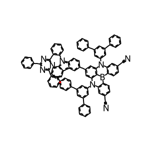 N#Cc1ccc2c(c1)N(c1cc(-c3ccccc3)cc(-c3ccccc3)c1)c1cc(-c3ccc4c(c3)c3ccccc3n4-c3ccccc3-c3nc(-c4ccccc4)nc(-c4ccccc4)n3)cc3c1B2c1ccc(C#N)cc1N3c1cc(-c2ccccc2)cc(-c2ccccc2)c1